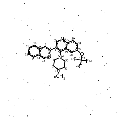 CN1CCN(c2c(-c3cc4ccccc4cn3)[c]nc3ccc(OC(F)(F)F)cc23)CC1